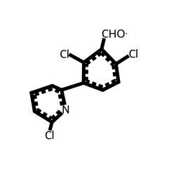 O=[C]c1c(Cl)ccc(-c2cccc(Cl)n2)c1Cl